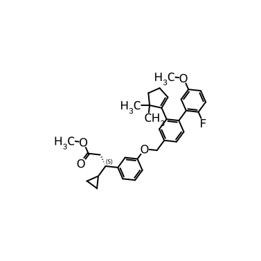 COC(=O)C[C@H](c1cccc(OCc2ccc(-c3cc(OC)ccc3F)c(C3=CCCC3(C)C)c2)c1)C1CC1